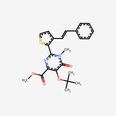 COC(=O)c1nc(-c2sccc2/C=C/c2ccccc2)n(C)c(=O)c1OC(C)(C)C